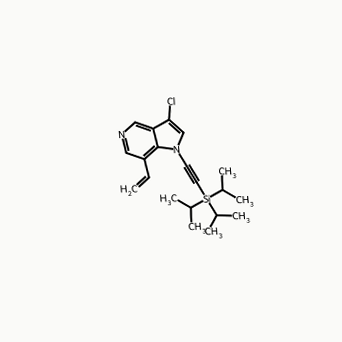 C=Cc1cncc2c(Cl)cn(C#C[Si](C(C)C)(C(C)C)C(C)C)c12